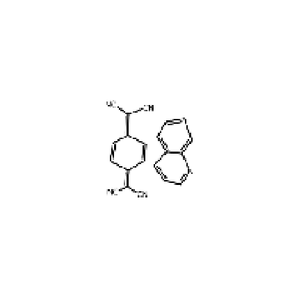 N#CC(C#N)=c1ccc(=C(C#N)C#N)cc1.c1ccc2ncccc2c1